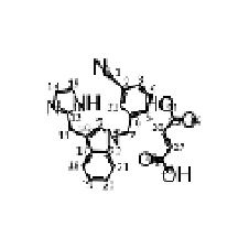 N#Cc1cccc(Cn2cc(Cc3ncc[nH]3)c3ccccc32)c1.O=C(O)C=CC(=O)O